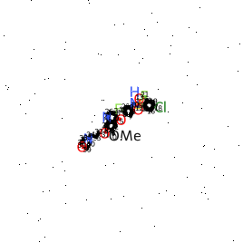 COc1cc2c(Oc3ccc(NS(=O)(=O)c4ccc(Cl)cc4F)cc3F)ccnc2cc1OCCCN1CCOCC1